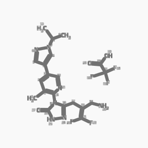 Cc1cc(-c2cnn(C(C)C)c2)cnc1-n1c(CC(CN)=C(F)F)n[nH]c1=O.O=C(O)C(F)(F)F